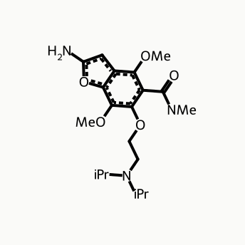 CNC(=O)c1c(OCCN(C(C)C)C(C)C)c(OC)c2oc(N)cc2c1OC